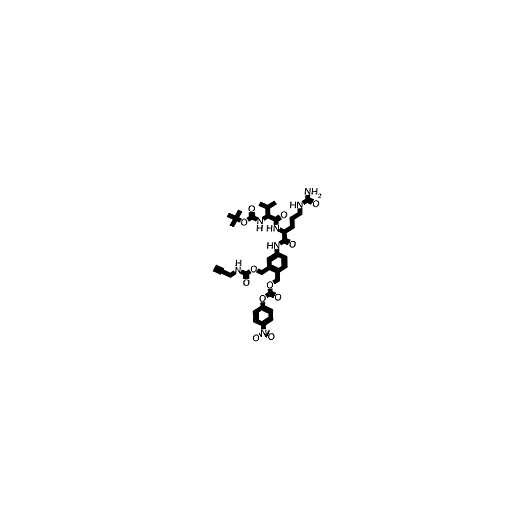 C#CCNC(=O)OCc1cc(NC(=O)C(CCCNC(N)=O)NC(=O)C(NC(=O)OC(C)(C)C)C(C)C)ccc1COC(=O)Oc1ccc([N+](=O)[O-])cc1